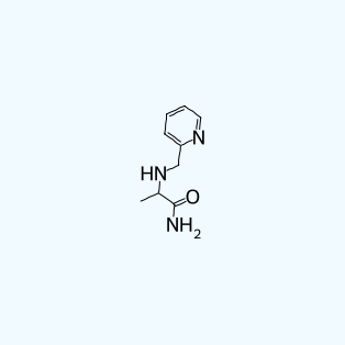 CC(NCc1ccccn1)C(N)=O